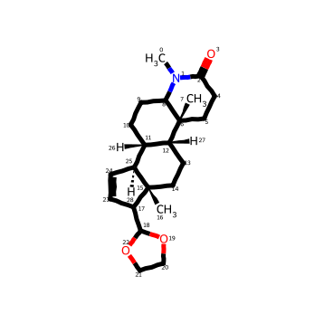 CN1C(=O)CC[C@@]2(C)C1CC[C@@H]1[C@H]2CC[C@]2(C)C(C3OCCO3)C=C[C@@H]12